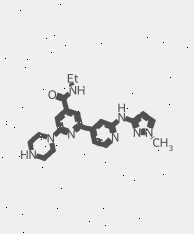 CCNC(=O)c1cc(-c2ccnc(Nc3ccn(C)n3)c2)nc(N2CCNCC2)c1